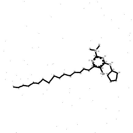 CCCCCCCCCCCCCCCCc1nc(N(C)C)nc(OC2CCCC2)c1Br